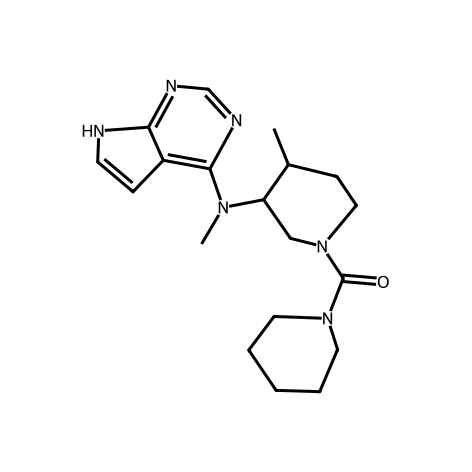 CC1CCN(C(=O)N2CCCCC2)CC1N(C)c1ncnc2[nH]ccc12